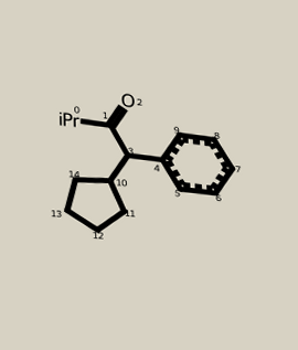 CC(C)C(=O)C(c1ccccc1)C1CCCC1